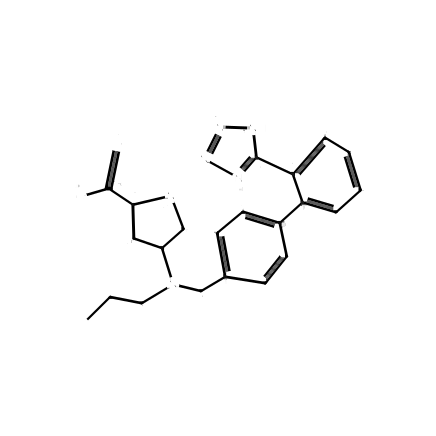 CCCN(Cc1ccc(-c2ccccc2-c2nnn[nH]2)cc1)C1CNC(C(=O)O)C1